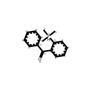 C[PH](C)(C)c1ccccc1C(=O)c1ccccc1